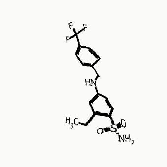 CCc1cc(NCc2ccc(C(F)(F)F)cc2)ccc1S(N)(=O)=O